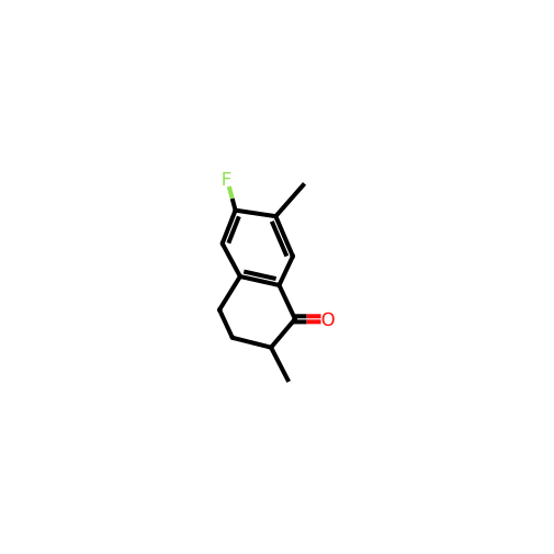 Cc1cc2c(cc1F)CCC(C)C2=O